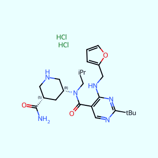 CC(C)CN(C(=O)c1cnc(C(C)(C)C)nc1NCc1ccco1)[C@H]1CNC[C@@H](C(N)=O)C1.Cl.Cl